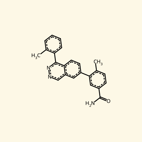 Cc1ccc(C(N)=O)cc1-c1ccc2c(-c3ccccc3C)nncc2c1